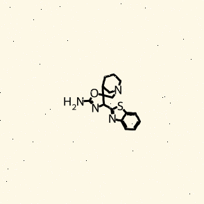 NC1=NC(c2nc3ccccc3s2)C2(CN3CCCC2C3)O1